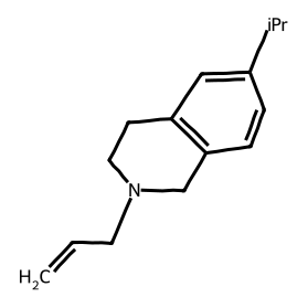 C=CCN1CCc2cc(C(C)C)ccc2C1